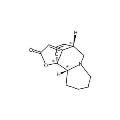 O=C1C=C2[C@@H]3C=CC[C@@]2(O1)[C@H]1CCCCN1C3